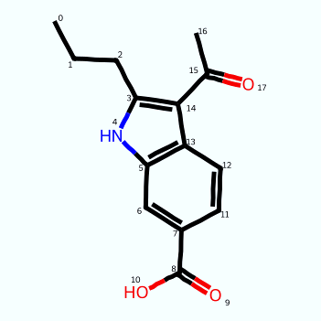 CCCc1[nH]c2cc(C(=O)O)ccc2c1C(C)=O